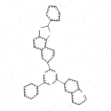 c1ccc(-c2nc(-c3ccc4ccccc4c3)nc(-c3ccc4c5c(ccc4c3)NC(c3ccccc3)O5)n2)cc1